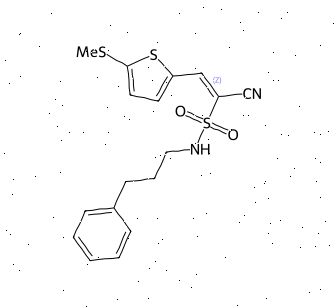 CSc1ccc(/C=C(/C#N)S(=O)(=O)NCCCc2ccccc2)s1